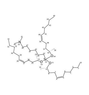 CCCCC/C=C\CC[C@H](C)O[Si](CCCCCCN(C)C)(O[C@@H](C)CC/C=C\CCCCC)O[C@@H](C)CC/C=C\CCCCC